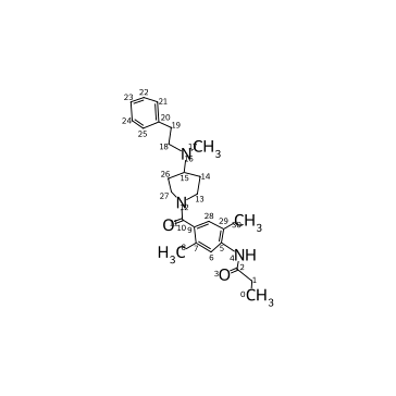 CCC(=O)Nc1cc(C)c(C(=O)N2CCC(N(C)CCc3ccccc3)CC2)cc1C